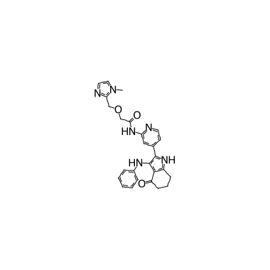 Cn1ccnc1COCC(=O)Nc1cc(-c2[nH]c3c(c2Nc2ccccc2)C(=O)CCC3)ccn1